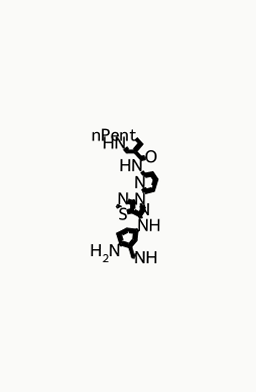 CCCCC/C=C(\C=N)C(=O)Nc1cccc(-n2nc(Nc3ccc(N)c(C=N)c3)c3scnc32)n1